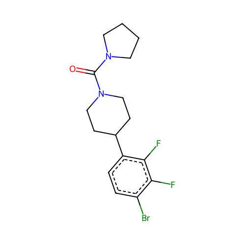 O=C(N1CCCC1)N1CCC(c2ccc(Br)c(F)c2F)CC1